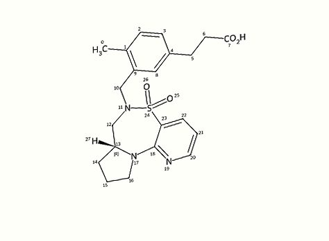 Cc1ccc(CCC(=O)O)cc1CN1C[C@H]2CCCN2c2ncccc2S1(=O)=O